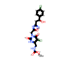 CC(C)(C)OC(=O)NCc1[nH]c(=O)n(Cc2nc(CC(O)c3ccc(Cl)cc3)no2)c(=O)c1Cl